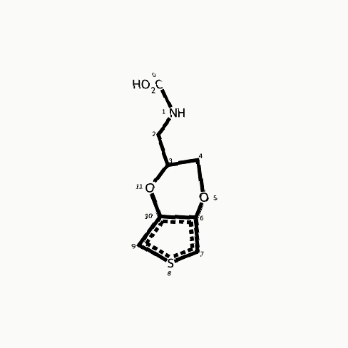 O=C(O)NCC1COc2cscc2O1